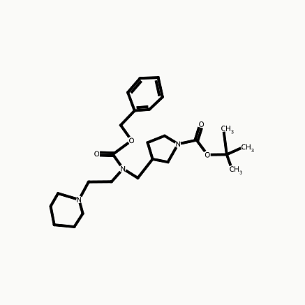 CC(C)(C)OC(=O)N1CCC(CN(CCN2CCCCC2)C(=O)OCc2ccccc2)C1